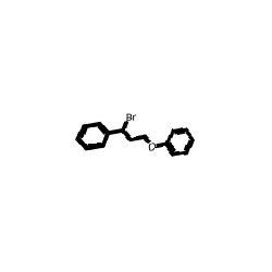 BrC(CCOc1ccccc1)c1ccccc1